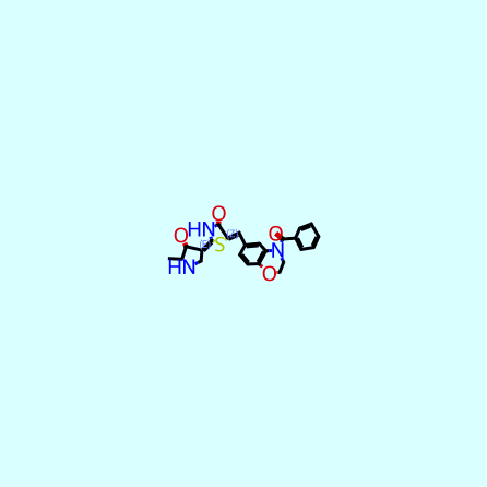 CC1NC/C(=c2/[nH]c(=O)/c(=C/c3ccc4c(c3)N(C(=O)c3ccccc3)CCO4)s2)C1=O